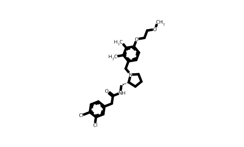 COCCOc1ccc(CN2CCC[C@@H]2CNC(=O)Cc2ccc(Cl)c(Cl)c2)c(C)c1C